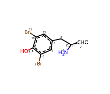 N[C@H]([C]=O)Cc1cc(Br)c(O)c(Br)c1